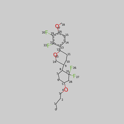 CCCCOC1CCC(C2CCC(c3ccc(OC)c(F)c3F)OC2)C(F)(F)C1